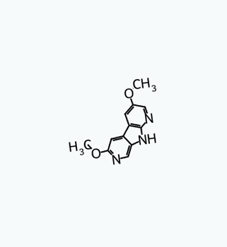 COc1cnc2[nH]c3cnc(OC)cc3c2c1